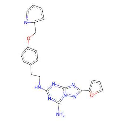 Nc1nc(NCCc2ccc(OCc3ccccn3)cc2)nc2nc(-c3ccco3)nn12